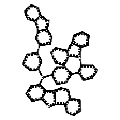 c1cc(-c2ccc3sc4ccccc4c3c2)cc(N(c2ccc(-c3ccccc3-n3c4ccccc4c4ccccc43)cc2)c2cccc3oc4c5ccccc5ccc4c23)c1